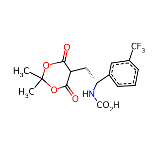 CC1(C)OC(=O)C(C[C@@H](NC(=O)O)c2cccc(C(F)(F)F)c2)C(=O)O1